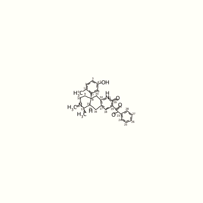 Cc1ccc(O)cc1[C@]12CCN(C)[C@H](C)[C@@H]1Cc1cc(S(=O)(=O)c3ccccc3)c(=O)[nH]c1C2